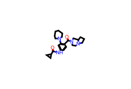 O=C(Nc1ccc(C(=O)N2CCN3CCCC3C2)c(N2CCCCCC2)c1)C1CC1